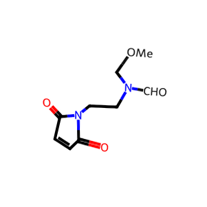 COCN(C=O)CCN1C(=O)C=CC1=O